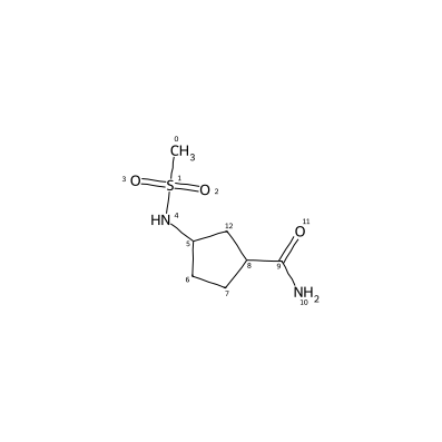 CS(=O)(=O)NC1CCC(C(N)=O)C1